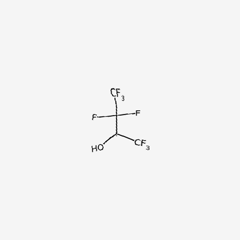 O[C](C(F)(F)F)C(F)(F)C(F)(F)F